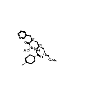 COCOC[C@H](C[C@H](Cc1cccnc1)C(=O)NO)NC(=O)[C@H]1CC[C@H](C)CC1